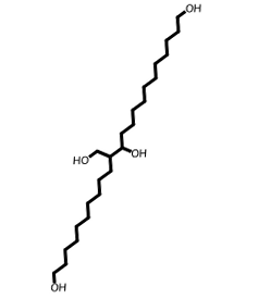 OCCCCCCCCCCCC(O)C(CO)CCCCCCCCCCO